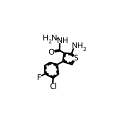 NNC(=O)c1c(-c2ccc(F)c(Cl)c2)csc1N